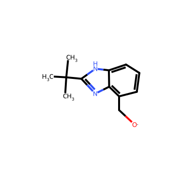 CC(C)(C)c1nc2c(C[O])cccc2[nH]1